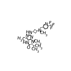 Cc1nc(N[C@H]2C[C@H](N(C)Cc3ccc(C(F)(F)F)nc3)C2)nc2c1NC(=O)[C@H](C(C)C)N2C